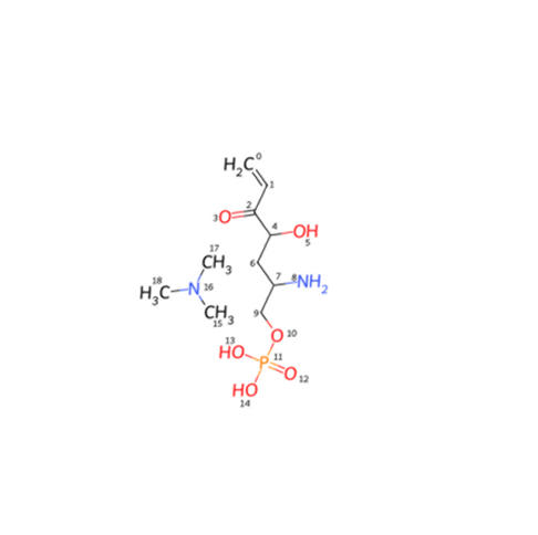 C=CC(=O)C(O)CC(N)COP(=O)(O)O.CN(C)C